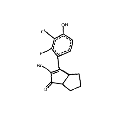 O=C1C(Br)=C(c2ccc(O)c(Cl)c2F)C2CCCC12